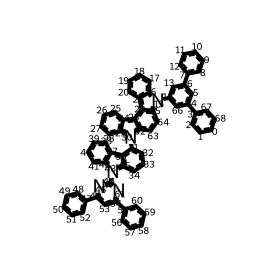 c1ccc(-c2cc(-c3ccccc3)cc(-n3c4ccccc4c4c5c6ccccc6n(-c6cccc7c6c6ccccc6n7-c6nc(-c7ccccc7)cc(-c7ccccc7)n6)c5ccc43)c2)cc1